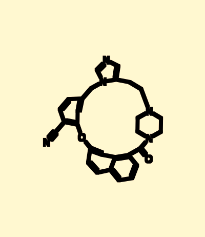 N#Cc1ccc2cc1Oc1ccc3cccc(c3c1)C(=O)N1CCN(CCc3cncn3C2)CC1